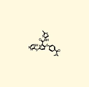 Cc1nc(NC(=O)c2nc(Sc3nnc[nH]3)ccc2Sc2ccc(C(=O)N(C)C)cc2)cs1